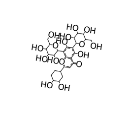 O=c1cc(C2CCC(O)C(O)C2)oc2c(C3OC(CO)C(O)C(O)C3O)c(O)c(C3OC(CO)C(O)C(O)C3O)c(O)c12